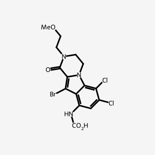 COCCN1CCn2c(c(Br)c3c(NC(=O)O)cc(Cl)c(Cl)c32)C1=O